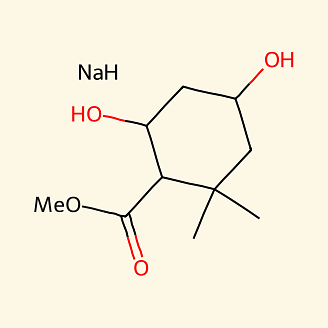 COC(=O)C1C(O)CC(O)CC1(C)C.[NaH]